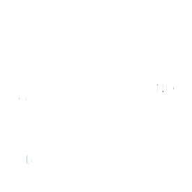 Cc1ccc([N+](=O)[O-])cc1C(=O)CBr